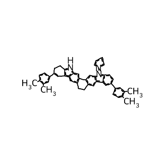 Cc1ccc(C2=Cc3c([nH]c4cc5c(cc34)CCc3cc4c6cc(-c7ccc(C)c(C)c7)ccc6n(-n6cccc6)c4cc3-5)CC2)cc1C